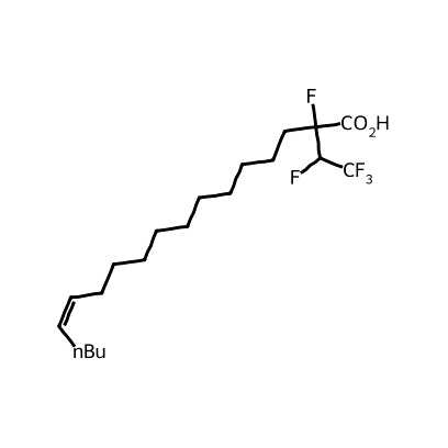 CCCC/C=C\CCCCCCCCCCC(F)(C(=O)O)C(F)C(F)(F)F